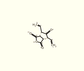 C=CCC(=O)CC=C.O=C1CCC(=O)O1